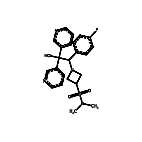 CN(C)S(=O)(=O)C1CN(C(c2ccc(F)cc2)C(O)(c2cccnc2)c2cccnc2)C1